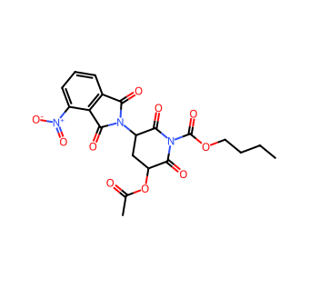 CCCCOC(=O)N1C(=O)C(OC(C)=O)CC(N2C(=O)c3cccc([N+](=O)[O-])c3C2=O)C1=O